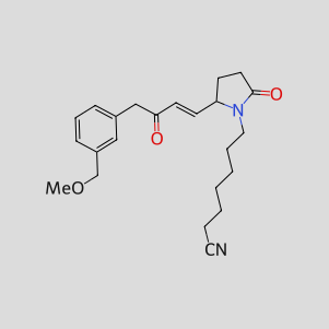 COCc1cccc(CC(=O)/C=C/C2CCC(=O)N2CCCCCCC#N)c1